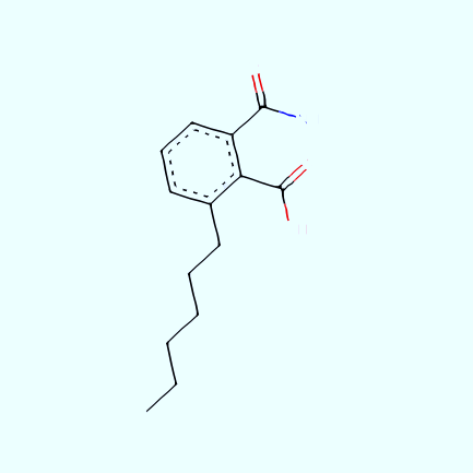 CCCCCCc1cccc(C(N)=O)c1C(=O)O